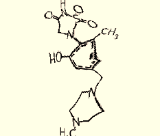 Cc1cc(CN2CCN(C)CC2)cc(O)c1N1CC(=O)NS1(=O)=O